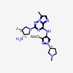 COc1nn([C@H]2CCN(C)C2)cc1Nc1nc(N2C[C@H](N)[C@@H](F)C2)nn2c(C)cnc12